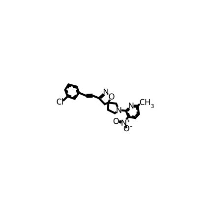 Cc1ccc([N+](=O)[O-])c(N2CCC3(CC(C#Cc4cccc(Cl)c4)=NO3)C2)n1